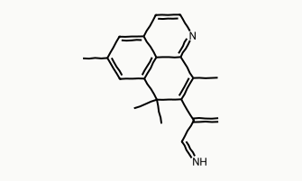 C=C(C=N)C1=C(C)c2nccc3cc(C)cc(c23)C1(C)C